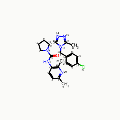 Cc1ccc(NC(=O)N2CCC[C@@H]2c2nnc(C)n2Cc2ccc(Cl)cc2)c(C)n1